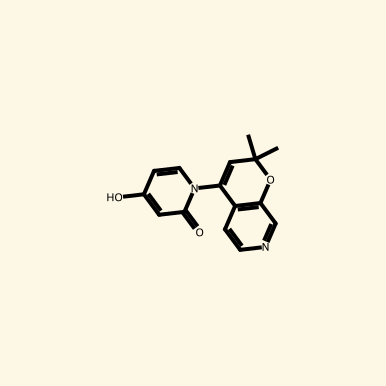 CC1(C)C=C(n2ccc(O)cc2=O)c2ccncc2O1